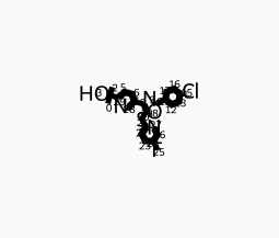 CC(C)(O)c1ccc(-c2nc(-c3ccc(Cl)cc3)oc2Sc2ccc(F)cn2)cn1